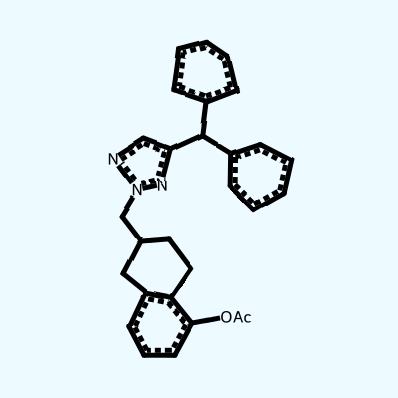 CC(=O)Oc1cccc2c1CCC(Cn1ncc(C(c3ccccc3)c3ccccc3)n1)C2